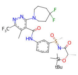 Cc1c(C(F)(F)F)nnc(N2CCCC(F)(F)CC2)c1C(=O)Nc1cccc([S@@](C)(=O)=NC(=O)[C@H](C)O[Si](C)(C)C(C)(C)C)c1